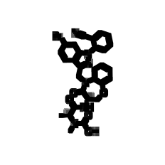 C[C@@H](C(=O)N[C@H]1COc2ccccc2N(Cc2nn(-c3ccccc3C#N)c3cc(Br)ccc23)C1=O)N(C)C(=O)O